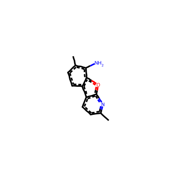 Cc1ccc2c(n1)oc1c(N)c(C)ccc12